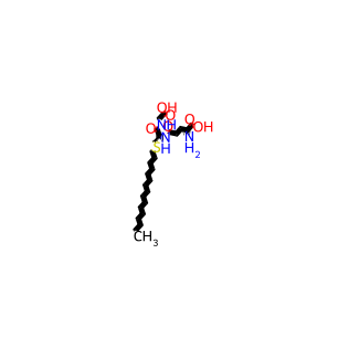 CCCCCCCCCCCCCCCCSC[C@H](NC(=O)CC[C@H](N)C(=O)O)C(=O)NCC(=O)O